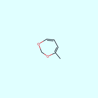 CC1=CC=COCO1